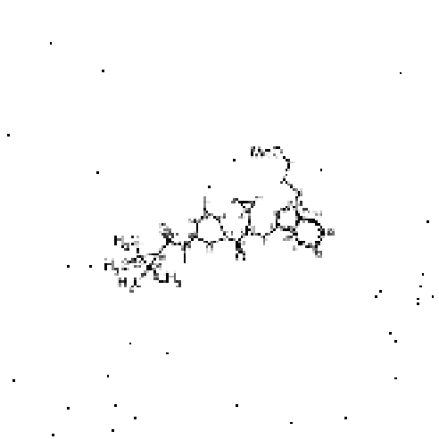 COCCCn1cc(CN(C(=O)C2CNCC(NC(=O)C3C(C)(C)C3(C)C)C2)C2CC2)c2ccccc21